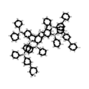 c1ccc(-c2ccc(-c3cc(-c4ccccc4)cc(-n4c5ccccc5c5c6oc7c(cc(N(c8ccccc8)c8ccccc8)c8c7c7ccc(N(c9ccccc9)c9ccccc9)cc7n8-c7ccc(N(c8ccccc8)c8ccc(-c9ccccc9)cc8)cc7)c6cc(N(c6ccccc6)c6ccccc6)c54)c3)cc2)cc1